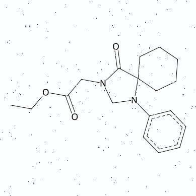 CCOC(=O)CN1CN(c2ccccc2)C2(CCCCC2)C1=O